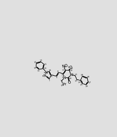 CC(C)Cn1c(/C=C/c2cnn(-c3ccccc3)c2)c([N+](=O)[O-])c(=O)n(CCc2ccccc2)c1=O